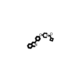 O=C(C1CCC1)N1CCC(Oc2ccc(-c3cc4ccccc4cn3)cc2)CC1